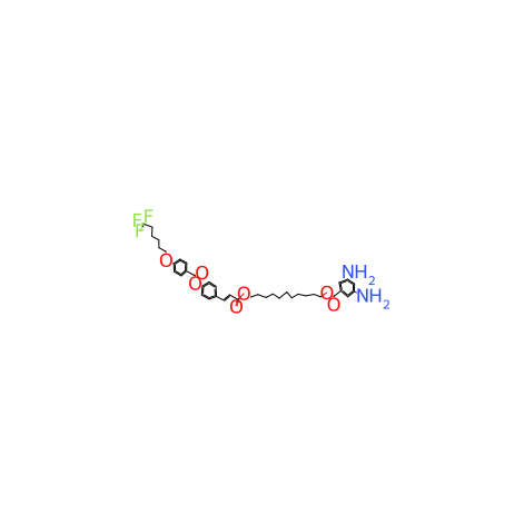 Nc1cc(N)cc(C(=O)OCCCCCCCCCCCOC(=O)C=Cc2ccc(OC(=O)c3ccc(OCCCCCC(F)(F)F)cc3)cc2)c1